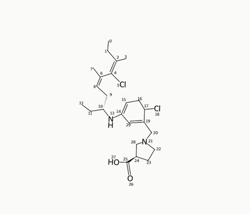 CC/C(C)=C(Cl)\C(C)=C/C[C@@H](CC)NC1=CCC(Cl)C(CN2CC[C@@H](C(=O)O)C2)=C1